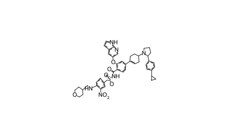 O=C(NS(=O)(=O)c1ccc(NCC2CCOCC2)c([N+](=O)[O-])c1)c1ccc(C2=CCC(N3CCCC3c3ccc(C4CC4)cc3)CC2)cc1Oc1cnc2[nH]ccc2c1